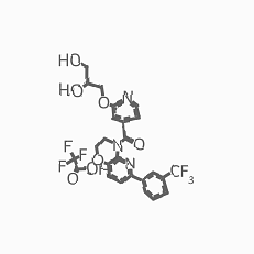 O=C(O)C(F)(F)F.O=C(c1ccnc(OCC(O)CO)c1)N1CCOc2ccc(-c3cccc(C(F)(F)F)c3)nc21